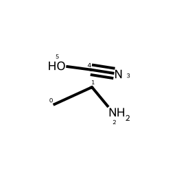 CCN.N#CO